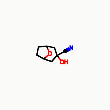 N#CC1(O)CC2CCC(C1)O2